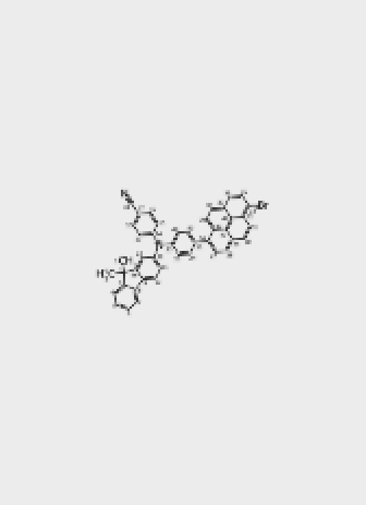 CC1(C)c2ccccc2-c2ccc(N(c3ccc(C#N)cc3)c3ccc(-c4ccc5ccc6c(Br)ccc7ccc4c5c76)cc3)cc21